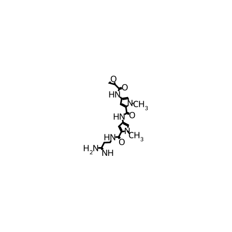 Cn1cc(NC(=O)c2cc(NC(=O)C3CO3)cn2C)cc1C(=O)NCCC(=N)N